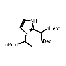 CCCCCCCCCCC(CCCCCCC)c1[nH]cc[n+]1C(C)CCCCC